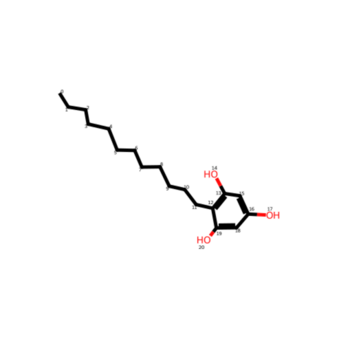 CCCCCCCCCCCCc1c(O)cc(O)cc1O